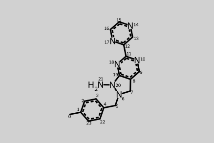 Cc1ccc(CN2Cc3cnc(-c4cnccn4)nc3N2N)cc1